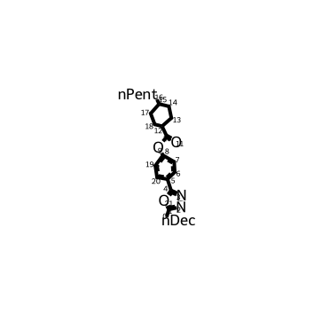 CCCCCCCCCCc1nnc(-c2ccc(OC(=O)C3CCC(CCCCC)CC3)cc2)o1